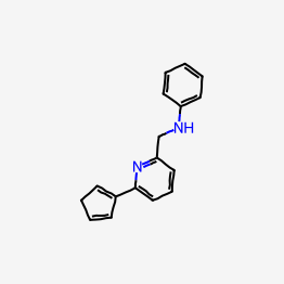 C1=CC(c2cccc(CNc3ccccc3)n2)=CC1